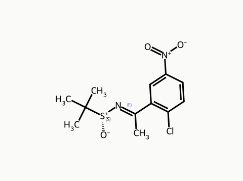 C/C(=N\[S@+]([O-])C(C)(C)C)c1cc([N+](=O)[O-])ccc1Cl